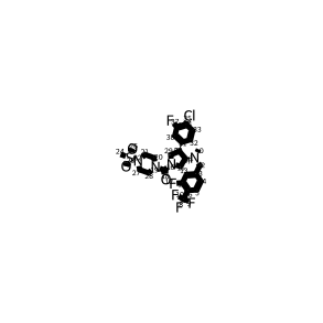 CN(Cc1ccc(C(F)(F)F)c(F)c1)[C@@H]1CN(C(=O)N2CCN(S(C)(=O)=O)CC2)C[C@@H]1c1ccc(Cl)c(F)c1